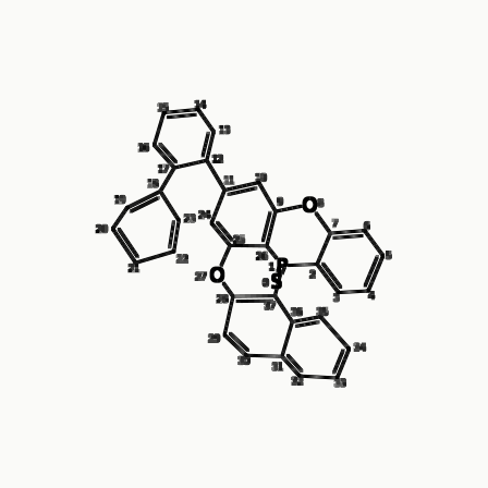 S=P12c3ccccc3Oc3cc(-c4ccccc4-c4ccccc4)cc(c31)Oc1ccc3ccccc3c12